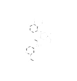 CC[C@@]1(C)C[C@H](c2ccc(F)c(F)c2OC)[C@@H](C(=O)Nc2ccnc(C(C)=O)c2)O1